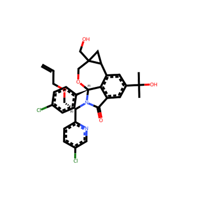 C=CCOC[C@@H](c1ccc(Cl)cn1)N1C(=O)c2cc(C(C)(C)O)cc3c2[C@@]1(c1ccc(Cl)cc1)OCC1(CO)CC31